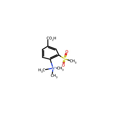 C[N+](C)(C)c1ccc(C(=O)O)cc1S(C)(=O)=O